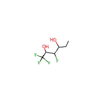 CCC(O)C(F)C(O)C(F)(F)F